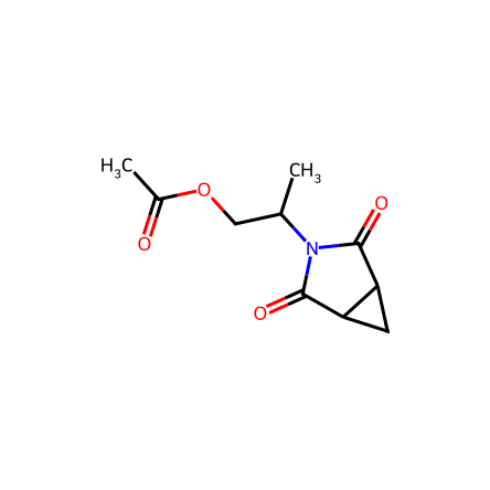 CC(=O)OCC(C)N1C(=O)C2CC2C1=O